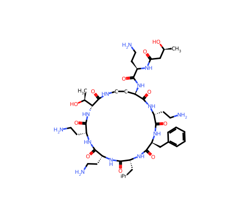 CC(C)C[C@H]1NC(=O)[C@H](Cc2ccccc2)NC(=O)[C@@H](CCN)NC(=O)[C@H](NC(=O)[C@@H](CCN)NC(=O)C[C@H](C)O)CCNC(=O)[C@@H]([C@H](C)O)NC(=O)[C@@H](CCN)NC(=O)[C@@H](CCN)NC1=O